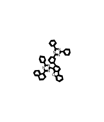 c1ccc(-c2nc(-c3ccccc3)nc(-c3cccc(-c4ccc5c(oc6ccccc65)c4-c4nc(-c5ccccc5)nc(-c5cccc6ccccc56)n4)c3)n2)cc1